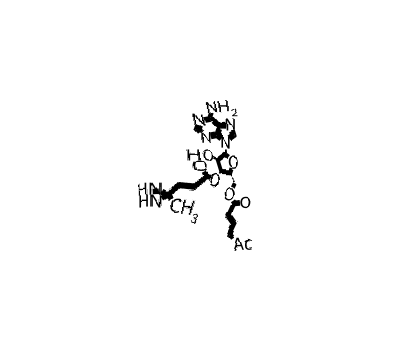 CC(=O)CCCC(=O)OC[C@H]1O[C@@H](n2cnc3c(N)ncnc32)[C@H](O)[C@H]1OC(=O)CCC1(C)NN1